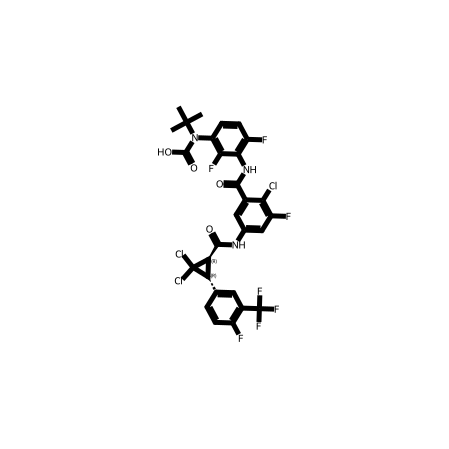 CC(C)(C)N(C(=O)O)c1ccc(F)c(NC(=O)c2cc(NC(=O)[C@H]3[C@H](c4ccc(F)c(C(F)(F)F)c4)C3(Cl)Cl)cc(F)c2Cl)c1F